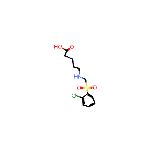 O=C(O)CCCCNCS(=O)(=O)c1ccccc1Cl